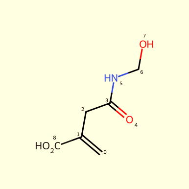 C=C(CC(=O)NCO)C(=O)O